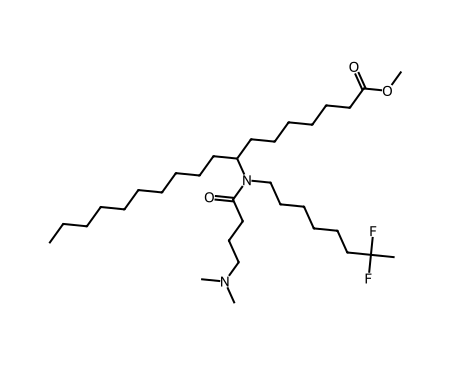 CCCCCCCCCCC(CCCCCCC(=O)OC)N(CCCCCCC(C)(F)F)C(=O)CCCN(C)C